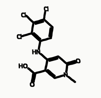 Cn1cc(C(=O)O)c(Nc2ccc(Cl)c(Cl)c2Cl)cc1=O